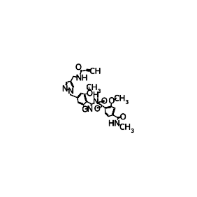 C#CC(=O)NCc1cnn(Cc2cc(OC)c3c(NS(=O)(=O)c4ccc(C(=O)NC)cc4OC)noc3c2)c1